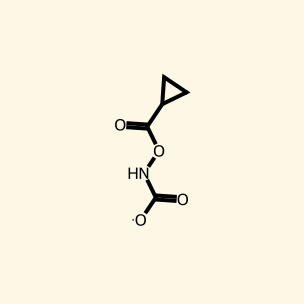 [O]C(=O)NOC(=O)C1CC1